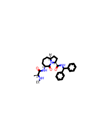 CCN[C@@H](C)C(=O)N[C@H]1CCC[C@H]2CC[C@@H](C(=O)NC(c3ccccc3)c3ccccc3)N2C1=O